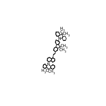 CC1(C)C2=C(C=CCC2)N(c2ccc3c(c2)C(C)(C)c2cc(/C=C/c4cccc5c(N6c7ccccc7C(C)(C)c7ccccc76)cccc45)ccc2-3)c2ccccc21